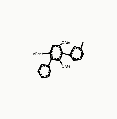 CCCCCc1cc(OC)c(-c2cccc(C)c2)c(OC)c1-c1ccccc1